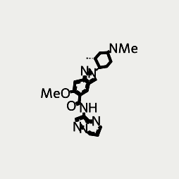 CNC1CC[C@@H](n2cc3cc(C(=O)Nc4cnn5cccnc45)c(OC)cc3n2)[C@H](C)C1